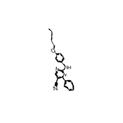 CCCCOc1ccc(Nc2ncc(C#N)c(-c3ccccc3)n2)cc1